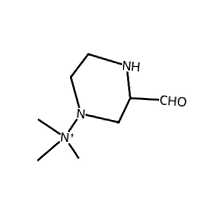 C[N+](C)(C)N1CCNC(C=O)C1